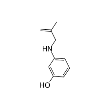 C=C(C)CNc1cccc(O)c1